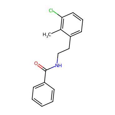 Cc1c(Cl)cccc1CCNC(=O)c1ccccc1